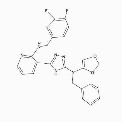 Fc1ccc(CNc2ncccc2-c2nnc(N(Cc3ccccc3)C3=COCO3)[nH]2)cc1F